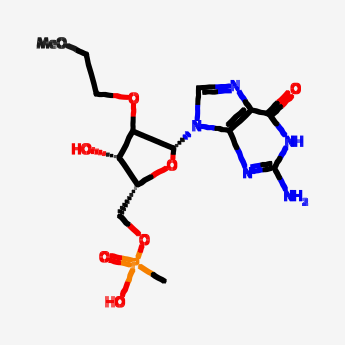 COCCOC1[C@@H](O)[C@@H](COP(C)(=O)O)O[C@H]1n1cnc2c(=O)[nH]c(N)nc21